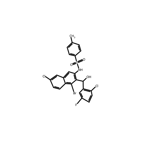 Cc1ccc(S(=O)(=O)Nc2cc3cc(Cl)ccc3c(Br)c2C(O)c2cc(F)ccc2Cl)cc1